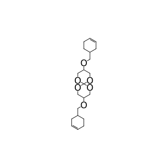 C1=CCC(COC2COC3(OC2)OCC(OCC2CC=CCC2)CO3)CC1